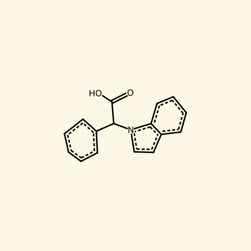 O=C(O)C(c1ccccc1)n1ccc2ccccc21